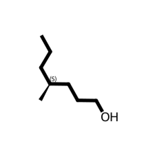 CCC[C@H](C)CCCO